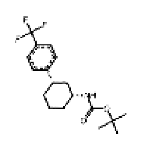 CC(C)(C)OC(=O)N[C@@H]1CCC[C@H](c2ccc(C(F)(F)F)cc2)C1